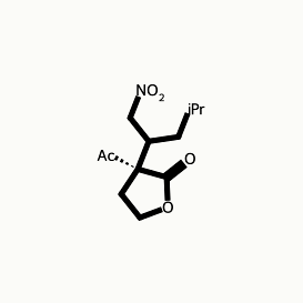 CC(=O)[C@@]1(C(CC(C)C)C[N+](=O)[O-])CCOC1=O